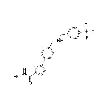 O=C(NO)c1ccc(-c2ccc(CNCc3ccc(C(F)(F)F)cc3)cc2)o1